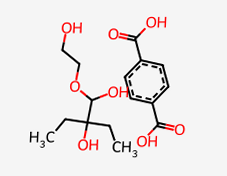 CCC(O)(CC)C(O)OCCO.O=C(O)c1ccc(C(=O)O)cc1